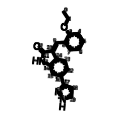 CCOc1ccccc1/C=C1/C(=O)Nc2cc(-c3cc[nH]n3)ccc21